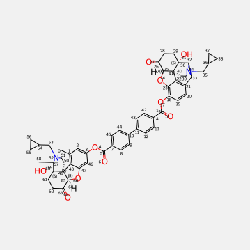 Cc1cc(OC(=O)c2ccc(-c3ccc(C(=O)Oc4ccc5c6c4O[C@H]4C(=O)CC[C@@]7(O)C(C5)N(CC5CC5)CC[C@]647)cc3)cc2)cc2c1[C@]13CCN(CC4CC4)C(C)[C@]1(O)CCC(=O)[C@@H]3O2